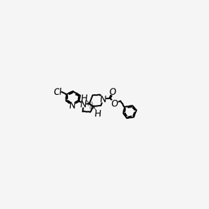 O=C(OCc1ccccc1)N1CC[C@H]2[C@H](CCN2c2ccc(Cl)cn2)C1